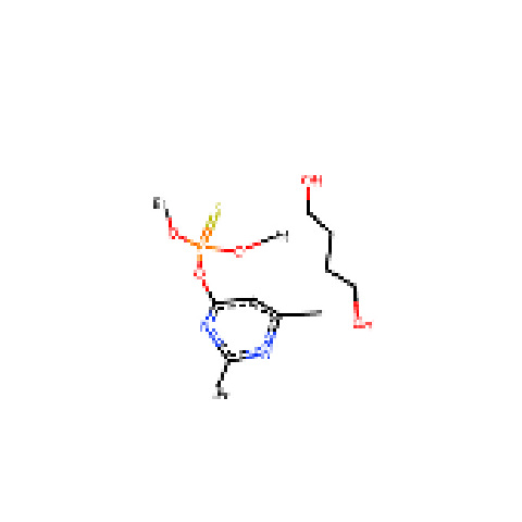 CCOP(=S)(OCC)Oc1cc(C)nc(C(C)C)n1.OCCCCO